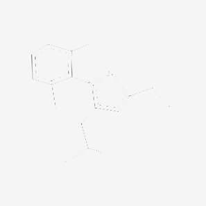 CC(C)Cc1cc(CBr)nn1-c1c(Cl)cccc1Cl